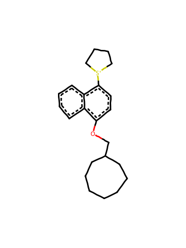 c1ccc2c([S+]3CCCC3)ccc(OCC3CCCCCCC3)c2c1